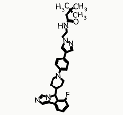 CC(C)(C)CC(=O)NCCn1cc(-c2ccc(N3CCC(C4c5c(F)cccc5-c5cncn54)CC3)cc2)cn1